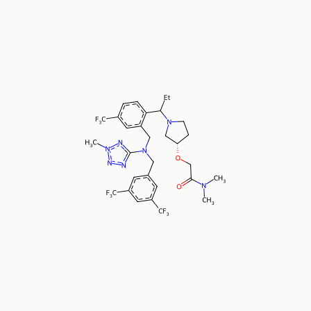 CCC(c1ccc(C(F)(F)F)cc1CN(Cc1cc(C(F)(F)F)cc(C(F)(F)F)c1)c1nnn(C)n1)N1CC[C@H](OCC(=O)N(C)C)C1